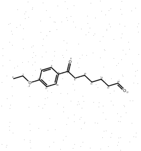 CCOc1ccc(C(=O)CCCCCC=O)cc1